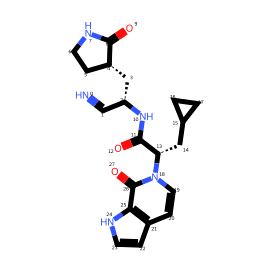 N=C[C@H](C[C@@H]1CCNC1=O)NC(=O)[C@H](CC1CC1)n1ccc2cc[nH]c2c1=O